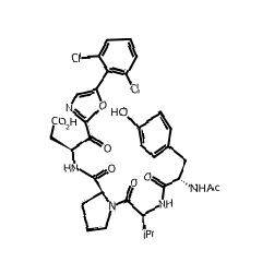 CC(=O)N[C@@H](Cc1ccc(O)cc1)C(=O)N[C@H](C(=O)N1CCC[C@H]1C(=O)N[C@@H](CC(=O)O)C(=O)c1ncc(-c2c(Cl)cccc2Cl)o1)C(C)C